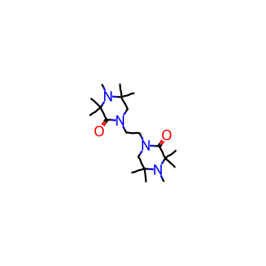 CN1C(C)(C)CN(CCN2CC(C)(C)N(C)C(C)(C)C2=O)C(=O)C1(C)C